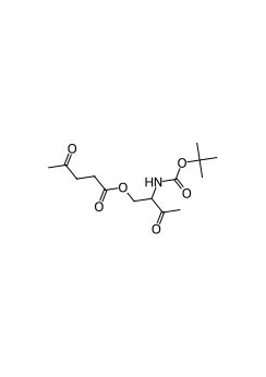 CC(=O)CCC(=O)OCC(NC(=O)OC(C)(C)C)C(C)=O